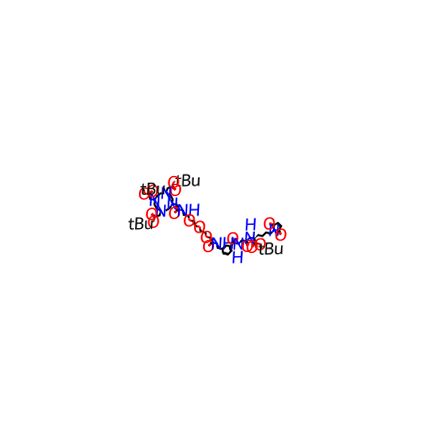 CC(C)(C)OC(=O)CN1CCN(CC(=O)NCCOCCOCCOCC(=O)NCc2cccc(C(=O)NCC(=O)N[C@@H](CCCCN3C(=O)C=CC3=O)C(=O)OC(C)(C)C)c2)CCN(CC(=O)OC(C)(C)C)CCN(CC(=O)OC(C)(C)C)CC1